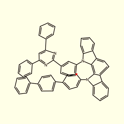 c1ccc(-c2ccc(-c3ccc(-n4c5ccccc5c5ccc6c7ccccc7n(-c7cccc(-c8nc(-c9ccccc9)cc(-c9ccccc9)n8)c7)c6c54)cc3)cc2)cc1